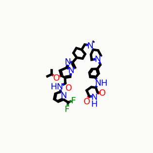 CC(C)Oc1cc2nc(C3CCC(CN(C)C4CCN(Cc5cccc(NC6CCC(=O)NC6=O)c5)CC4)CC3)cn2cc1C(=O)Nc1cccc(C(F)F)n1